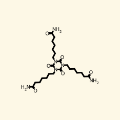 NC(=O)CCCCCCn1c(=O)n(CCCCCCC(N)=O)c(=O)n(CCCCCCC(N)=O)c1=O